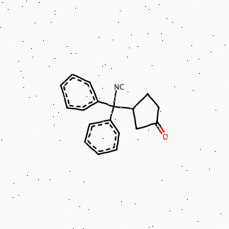 [C-]#[N+]C(c1ccccc1)(c1ccccc1)C1CCC(=O)C1